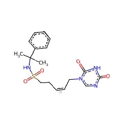 CC(C)(NS(=O)(=O)CC/C=C\Cn1cnc(=O)[nH]c1=O)c1ccccc1